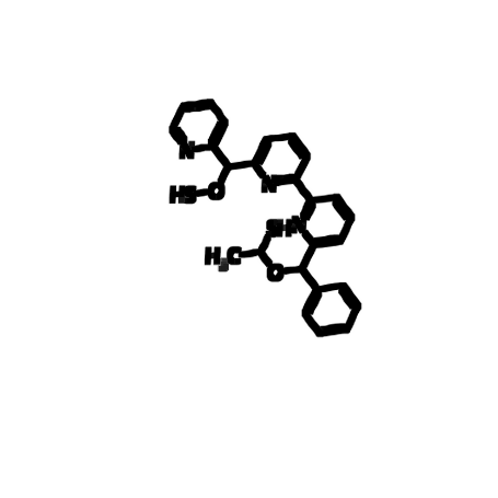 CC(S)OC(c1ccccc1)c1cccc(-c2cccc(C(OS)c3ccccn3)n2)n1